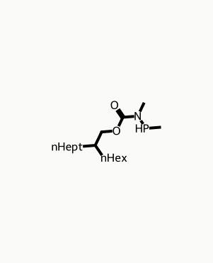 CCCCCCCC(CCCCCC)COC(=O)N(C)PC